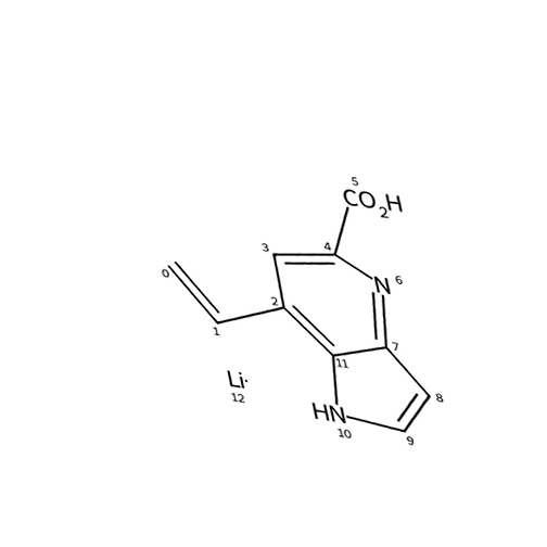 C=Cc1cc(C(=O)O)nc2cc[nH]c12.[Li]